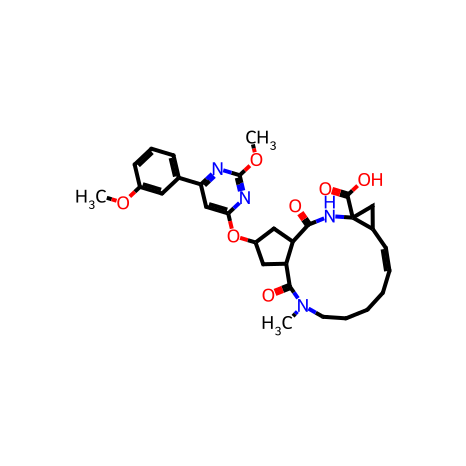 COc1cccc(-c2cc(OC3CC4C(=O)NC5(C(=O)O)CC5C=CCCCCN(C)C(=O)C4C3)nc(OC)n2)c1